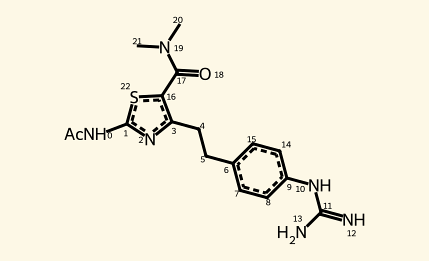 CC(=O)Nc1nc(CCc2ccc(NC(=N)N)cc2)c(C(=O)N(C)C)s1